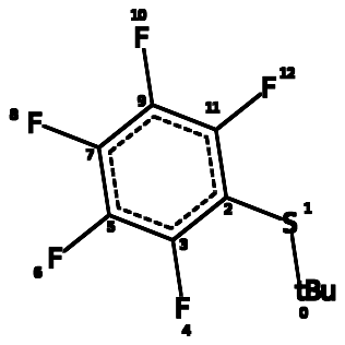 CC(C)(C)Sc1c(F)c(F)c(F)c(F)c1F